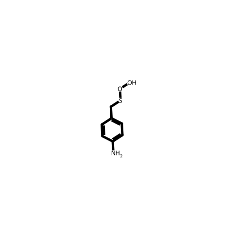 Nc1ccc(CSOO)cc1